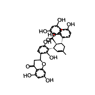 CC1=C[C@H](c2c(O)ccc(C3CC(=O)c4c(O)cc(O)cc4O3)c2O)[C@@H](C(=O)c2ccc(O)cc2O)[C@H](c2ccc(O)cc2O)C1